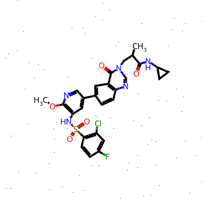 COc1ncc(-c2ccc3ncn(CC(C)C(=O)NC4CC4)c(=O)c3c2)cc1NS(=O)(=O)c1ccc(F)cc1Cl